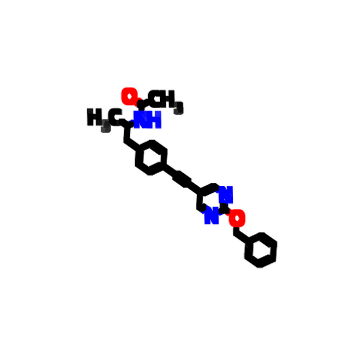 CC(=O)NC(C)Cc1ccc(C#Cc2cnc(OCc3ccccc3)nc2)cc1